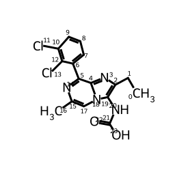 CCc1nc2c(-c3cccc(Cl)c3Cl)nc(C)cn2c1NC(=O)O